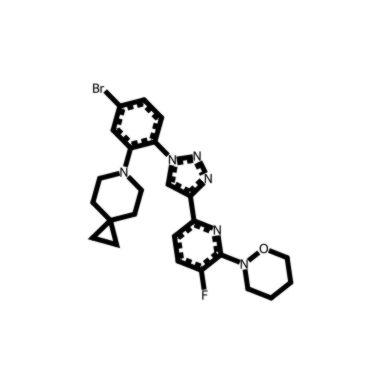 Fc1ccc(-c2cn(-c3ccc(Br)cc3N3CCC4(CC3)CC4)nn2)nc1N1CCCCO1